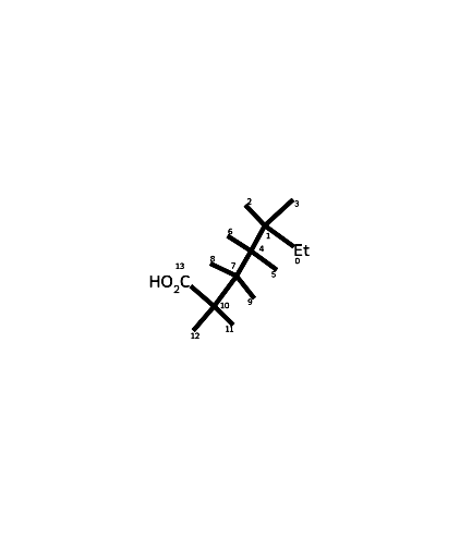 CCC(C)(C)C(C)(C)C(C)(C)C(C)(C)C(=O)O